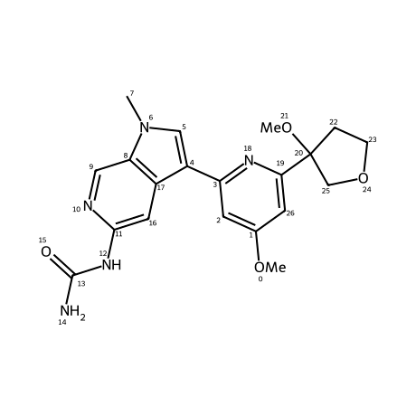 COc1cc(-c2cn(C)c3cnc(NC(N)=O)cc23)nc(C2(OC)CCOC2)c1